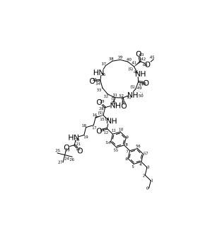 CCCCc1ccc(-c2ccc(C(=O)N[C@@H](CCCCNC(=O)OC(C)(C)C)C(=O)N[C@H]3CCC(=O)NCCCC[C@@H](C(=O)OC)NC(=O)[C@H](C)NC3=O)cc2)cc1